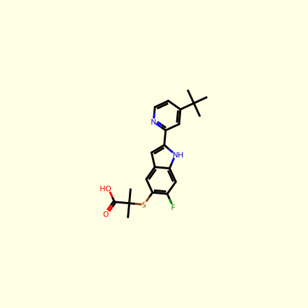 CC(C)(Sc1cc2cc(-c3cc(C(C)(C)C)ccn3)[nH]c2cc1F)C(=O)O